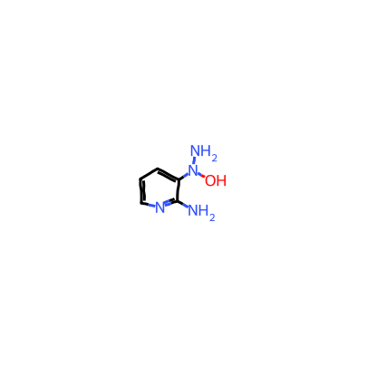 Nc1ncccc1N(N)O